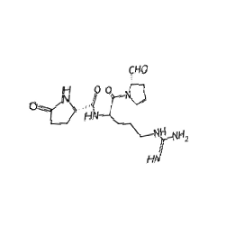 N=C(N)NCCCC(NC(=O)[C@@H]1CCC(=O)N1)C(=O)N1CCC[C@H]1C=O